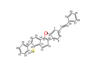 C(#Cc1ccc2c(c1)oc1c2ccc2c1ccc1c3ccccc3sc12)c1ccccc1